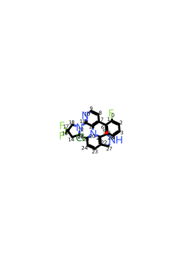 Fc1ccccc1-c1ccnc(N2CCC(F)(F)C2)c1N1C2=C(C=CC1Cl)CNC2